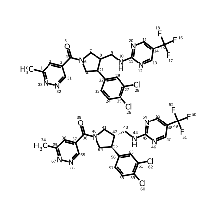 Cc1cc(C(=O)N2CC(CNc3ncc(C(F)(F)F)cn3)C(c3ccc(Cl)c(Cl)c3)C2)cnn1.Cc1cc(C(=O)N2C[C@H](CNc3ncc(C(F)(F)F)cn3)[C@@H](c3ccc(Cl)c(Cl)c3)C2)cnn1